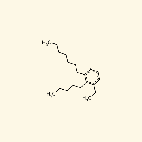 CCCCCCCc1[c]ccc(CC)c1CCCCC